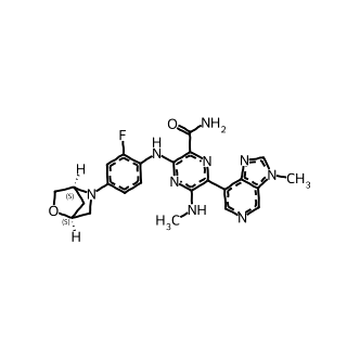 CNc1nc(Nc2ccc(N3C[C@@H]4C[C@H]3CO4)cc2F)c(C(N)=O)nc1-c1cncc2c1ncn2C